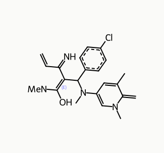 C=CC(=N)/C(=C(/O)NC)C(c1ccc(Cl)cc1)N(C)C1=CN(C)C(=C)C(C)=C1